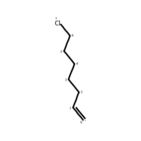 [CH]=CCCCCCCl